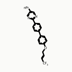 CCCc1cnc(-c2ccc(-c3ccc(OCC=CC(F)(F)F)cc3)cc2)nc1